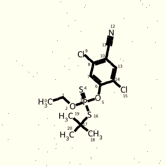 CCOP(=S)(Oc1cc(Cl)c(C#N)cc1Cl)SC(C)(C)C